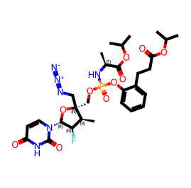 CC(C)OC(=O)CCc1ccccc1OP(=O)(N[C@@H](C)C(=O)OC(C)C)OC[C@@]1(CN=[N+]=[N-])O[C@@H](n2ccc(=O)[nH]c2=O)[C@H](F)[C@@H]1C